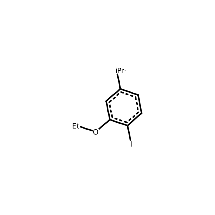 CCOc1cc([C](C)C)ccc1I